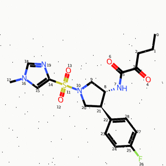 CCCC(=O)C(=O)N[C@H]1CN(S(=O)(=O)c2cn(C)cn2)C[C@@H]1c1ccc(F)cc1